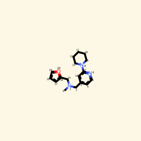 CN(Cc1ccnc(N2CCCCC2)c1)Cc1ccco1